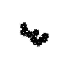 c1ccc(N(c2ccc(-c3cccc4c3oc3ccccc34)cc2)c2ccc3oc4ccc5c6ccc7ccccc7c6sc5c4c3c2)cc1